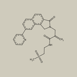 C=C(CN1Cc2c(ccc3ccc(-c4ccccn4)cc23)C1=O)C(=O)NCCS(C)(=O)=O